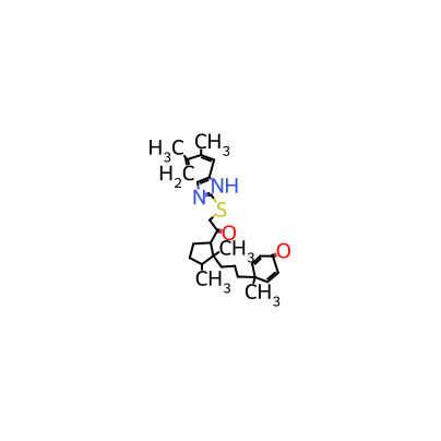 C=C(C)/C(C)=C\c1cnc(SCC(=O)C2CCC(C)C2(C)CCCC2(C)C=CC(=O)C=C2)[nH]1